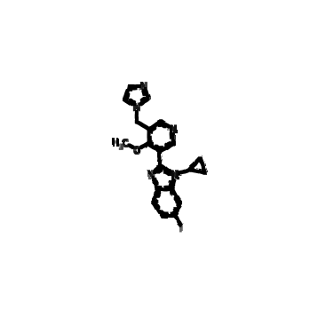 COc1c(Cn2ccnc2)cncc1-c1nc2ccc(I)cc2n1C1CC1